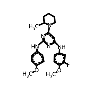 COc1ccc(Nc2nc(Nc3ccc(OC)c(F)c3)cc(N3CCCCC3C)n2)cc1